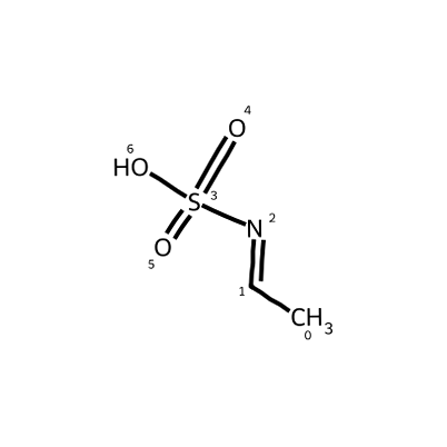 CC=NS(=O)(=O)O